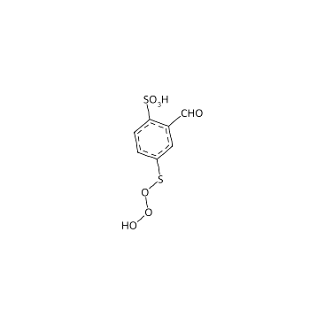 O=Cc1cc(SOOO)ccc1S(=O)(=O)O